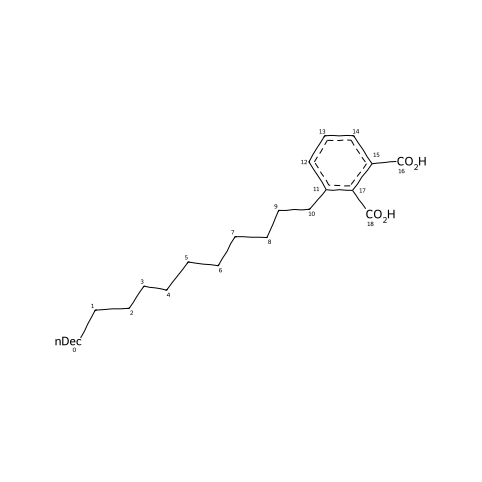 CCCCCCCCCCCCCCCCCCCCc1cccc(C(=O)O)c1C(=O)O